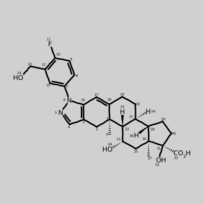 C[C@]12Cc3cnn(-c4ccc(F)c(CO)c4)c3C=C1CC[C@@H]1[C@@H]2[C@@H](O)C[C@@]2(C)[C@H]1CC[C@]2(O)C(=O)O